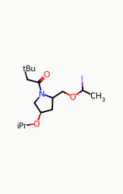 CC(C)O[C@@H]1CC(COC(C)I)N(C(=O)CC(C)(C)C)C1